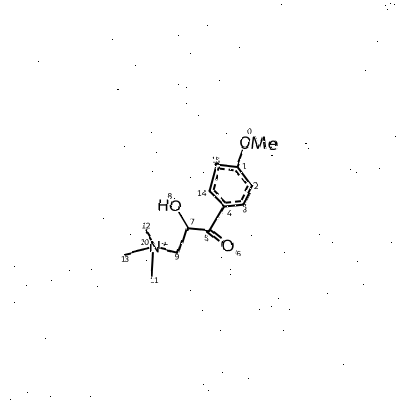 COc1ccc(C(=O)C(O)C[N+](C)(C)C)cc1